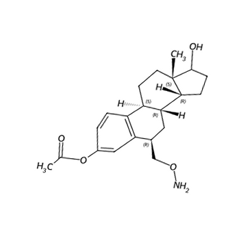 CC(=O)Oc1ccc2c(c1)[C@H](CON)C[C@@H]1[C@@H]2CC[C@]2(C)C(O)CC[C@H]12